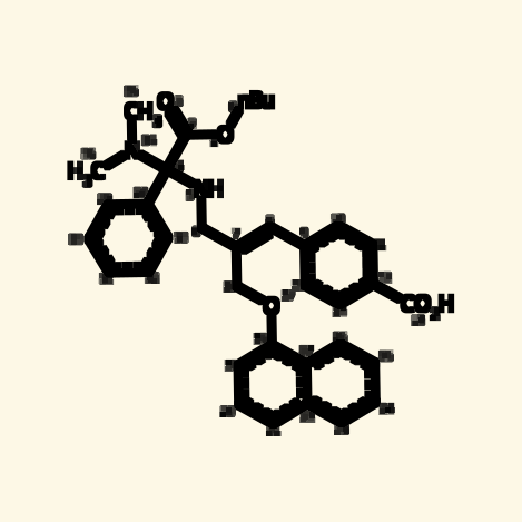 CCCCOC(=O)C(NCC(=Cc1ccc(C(=O)O)cc1)COc1cccc2ccccc12)(c1ccccc1)N(C)C